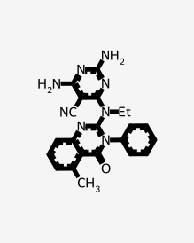 CCN(c1nc(N)nc(N)c1C#N)c1nc2cccc(C)c2c(=O)n1-c1ccccc1